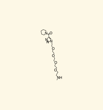 CNCCOCCOCCOCCOCCn1cc(C(=O)N2CCCCC2)nn1